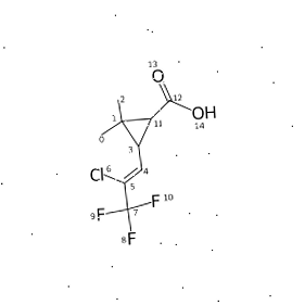 CC1(C)C(C=C(Cl)C(F)(F)F)C1C(=O)O